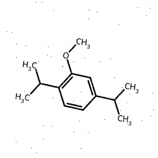 COc1cc(C(C)C)ccc1C(C)C